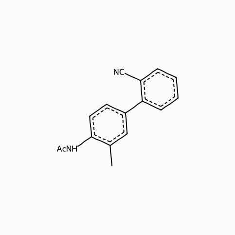 CC(=O)Nc1ccc(-c2ccccc2C#N)cc1C